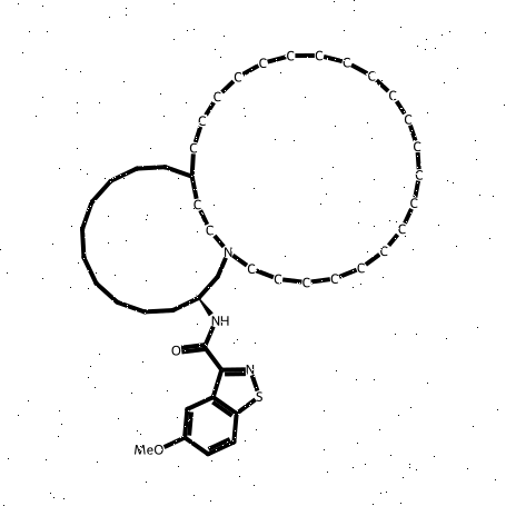 COc1ccc2snc(C(=O)N[C@H]3CCCCCCCCCCC4CCCCCCCCCCCCCCCCCCCCCN(CC4)C3)c2c1